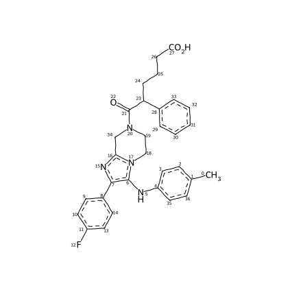 Cc1ccc(Nc2c(-c3ccc(F)cc3)nc3n2CCN(C(=O)C(CCCC(=O)O)c2ccccc2)C3)cc1